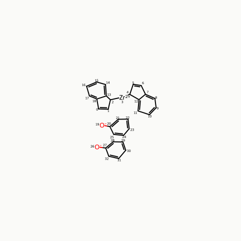 C1=C[CH]([Zr+2][CH]2C=Cc3ccccc32)c2ccccc21.[O-]c1ccccc1.[O-]c1ccccc1